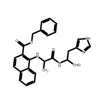 CC(Nc1c(C(=O)OCc2ccccc2)ccc2ccccc12)C(=O)NC([C]=O)Cc1c[nH]cn1